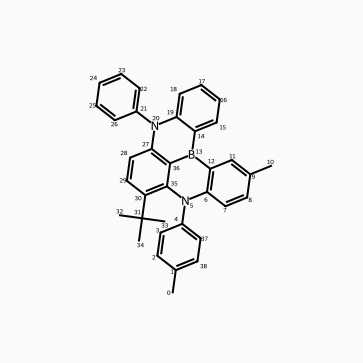 Cc1ccc(N2c3ccc(C)cc3B3c4ccccc4N(c4ccccc4)c4ccc(C(C)(C)C)c2c43)cc1